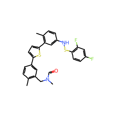 Cc1ccc(-c2ccc(-c3cc(NSc4ccc(F)cc4F)ccc3C)s2)cc1CN(C)C=O